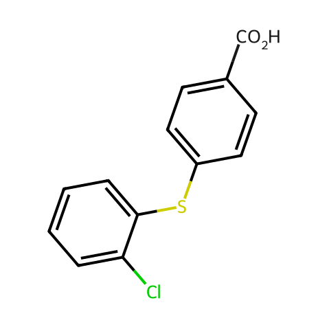 O=C(O)c1ccc(Sc2ccccc2Cl)cc1